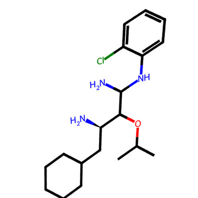 CC(C)OC(C(N)Nc1ccccc1Cl)[C@H](N)CC1CCCCC1